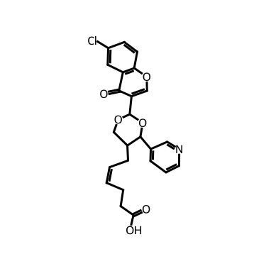 O=C(O)CC/C=C\CC1COC(c2coc3ccc(Cl)cc3c2=O)OC1c1cccnc1